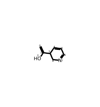 C=C(O)C1C=CC=NC1